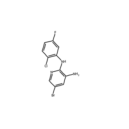 Nc1cc(Br)cnc1Nc1cc(F)ccc1Cl